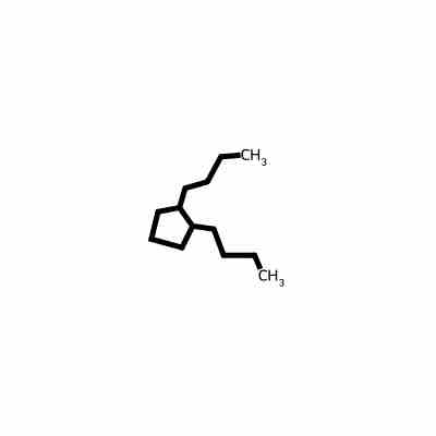 CCCCC1CCCC1CCCC